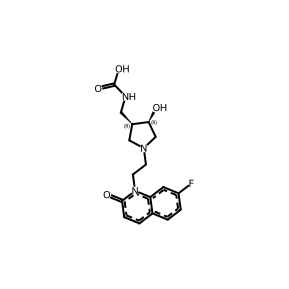 O=C(O)NC[C@@H]1CN(CCn2c(=O)ccc3ccc(F)cc32)C[C@@H]1O